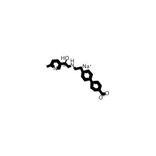 Cc1ccc([C@@H](O)CNCCc2ccc(-c3ccc(C(=O)[O-])cc3)cc2)cn1.[Na+]